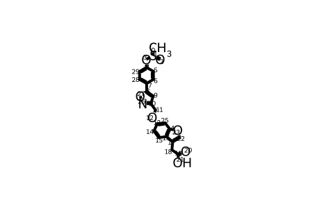 CS(=O)Oc1ccc(-c2cc(COc3ccc4c(CC(=O)O)coc4c3)no2)cc1